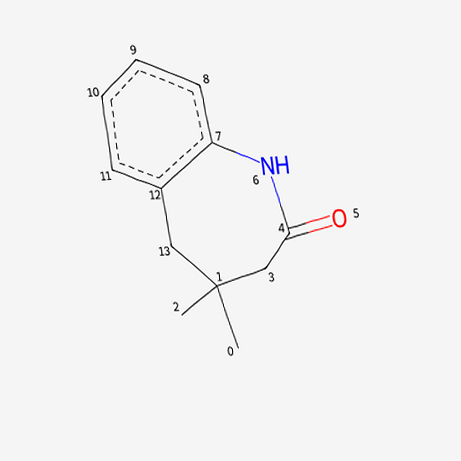 CC1(C)CC(=O)Nc2ccccc2C1